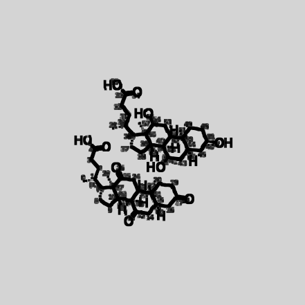 C[C@H](CCC(=O)O)[C@H]1CC[C@H]2[C@@H]3C(=O)C[C@@H]4CC(=O)CC[C@]4(C)[C@H]3CC(=O)[C@]12C.C[C@H](CCC(=O)O)[C@H]1CC[C@H]2[C@@H]3[C@H](O)C[C@@H]4C[C@H](O)CC[C@]4(C)[C@H]3C[C@H](O)[C@]12C